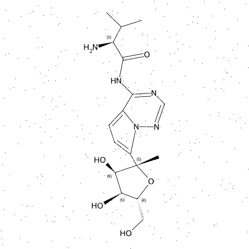 CC(C)[C@H](N)C(=O)Nc1ncnn2c([C@]3(C)O[C@H](CO)[C@@H](O)[C@H]3O)ccc12